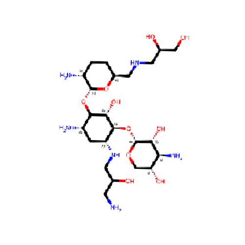 NCC(O)CN[C@@H]1C[C@H](N)C(O[C@H]2O[C@H](CNCC(O)CO)CC[C@H]2N)[C@H](O)[C@H]1O[C@H]1OC[C@@H](O)[C@H](N)[C@H]1O